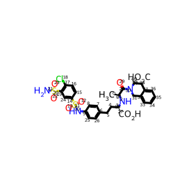 C[C@H](N[C@@H](CCc1ccc(NS(=O)(=O)c2ccc(Cl)c(S(N)(=O)=O)c2)cc1)C(=O)O)C(=O)N1Cc2ccccc2C[C@H]1C(=O)O